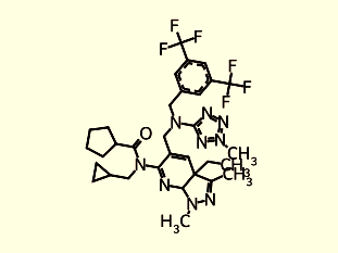 CCC12C=C(CN(Cc3cc(C(F)(F)F)cc(C(F)(F)F)c3)c3nnn(C)n3)C(N(CC3CC3)C(=O)C3CCCC3)=NC1N(C)N=C2C